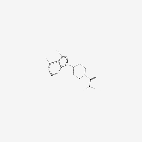 CC(C)C(=O)N1CCC(n2cc(Br)c3c(N)ncnc32)CC1